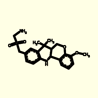 COc1cccc2c1OCC1C2Nc2ccc(CS(=O)(=O)CN)cc2C1(C)C